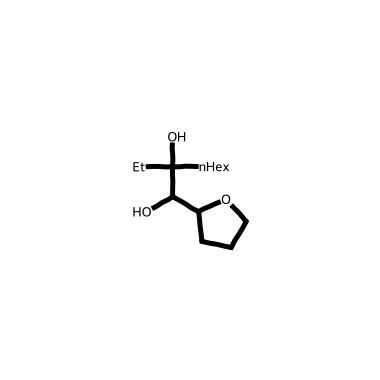 CCCCCCC(O)(CC)C(O)C1CCCO1